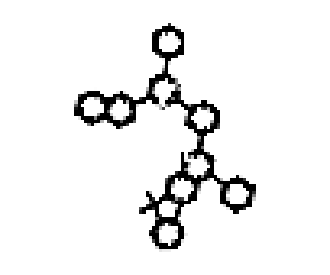 CC1(C)c2ccccc2-c2cc3c(-c4ccccc4)cc(-c4cccc(-c5nc(-c6ccccc6)cc(-c6ccc7ccccc7c6)n5)c4)nc3cc21